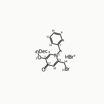 Br.CCCCCCCCCCOc1cn(Cc2ccccc2)c(CBr)cc1=O